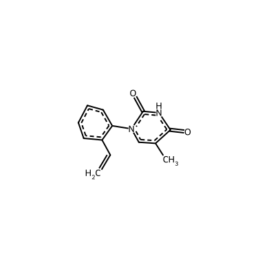 C=Cc1ccccc1-n1cc(C)c(=O)[nH]c1=O